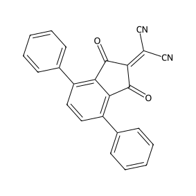 N#CC(C#N)=C1C(=O)c2c(-c3ccccc3)ccc(-c3ccccc3)c2C1=O